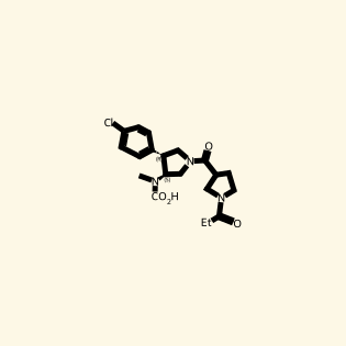 CCC(=O)N1CCC(C(=O)N2C[C@@H](N(C)C(=O)O)[C@H](c3ccc(Cl)cc3)C2)C1